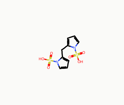 O=S(=O)(O)n1cccc1Cc1cccn1S(=O)(=O)O